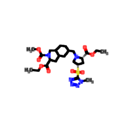 CCOC(=O)C1CC2CC(CN3C[C@@H](S(=O)(=O)c4nnnn4C)C[C@H]3C(=O)OCC)CCC2CN1C(=O)OC